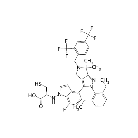 CCc1cccc(CC)c1-n1nc2c(c1-c1ccc(F)c3c1ccn3N[C@H](CS)C(=O)O)CN(Cc1ccc(C(F)(F)F)cc1C(F)(F)F)C2(C)C